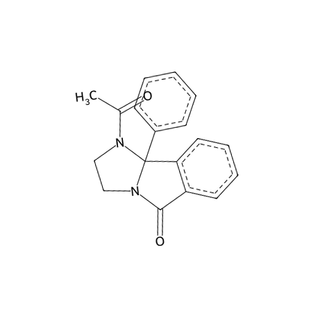 CC(=O)N1CCN2C(=O)c3ccccc3C12c1ccccc1